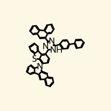 c1ccc(-c2ccc(C3=NC(c4cc5ccccc5c5ccccc45)=NC(c4ccc(-n5c6ccccc6c6cc7ccccc7cc65)c5sc6ccccc6c45)N3)cc2)cc1